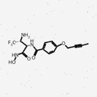 CC#CCOc1ccc(C(=O)N[C@H](C(=O)NO)[C@@H](N)C(F)(F)F)cc1